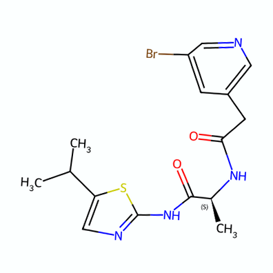 CC(C)c1cnc(NC(=O)[C@H](C)NC(=O)Cc2cncc(Br)c2)s1